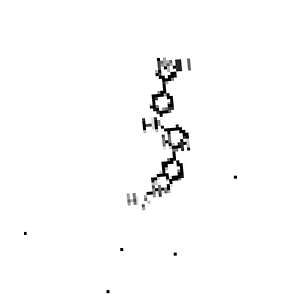 CN1Cc2ccc(-c3nccc(Nc4ccc(-c5cn[nH]c5)cc4)n3)cc2C1